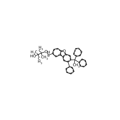 CC(c1ccccc1)(c1ccccc1)c1cc2oc3ccc(BOC(C)(C)C(C)(C)O)cc3c2cc1-c1ccccc1